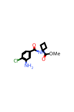 COC(=O)C1(NC(=O)c2ccc(Cl)c(N)c2)CCC1